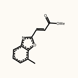 COC(=O)C=Cc1nc2cccc(C)c2o1